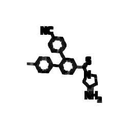 Cc1ccc(-c2ccc(C(=S)N3CC[C@H](N)C3)cc2-c2ccc(C#N)cc2)cc1